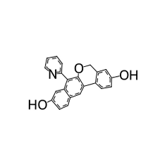 Oc1ccc2c(c1)COc1c-2cc2ccc(O)cc2c1-c1ccccn1